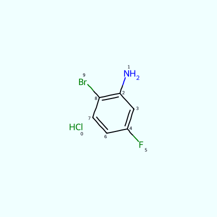 Cl.Nc1cc(F)ccc1Br